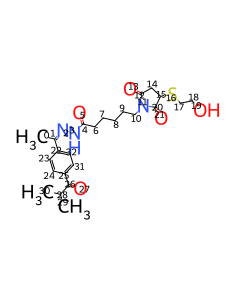 C/C(=N/NC(=O)CCCCCN1C(=O)CC(SCCO)C1=O)c1ccc(C(=O)C(C)C)cc1